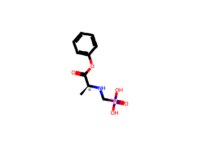 C[C@H](NCP(=O)(O)O)C(=O)Oc1ccccc1